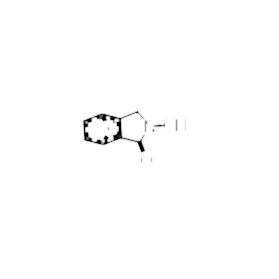 CN1Cc2c(c3ccc2o3)C1=O